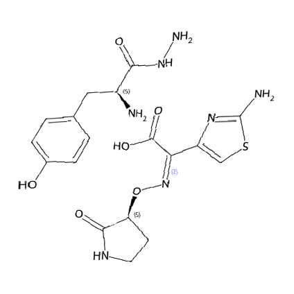 NNC(=O)[C@@H](N)Cc1ccc(O)cc1.Nc1nc(/C(=N/O[C@H]2CCNC2=O)C(=O)O)cs1